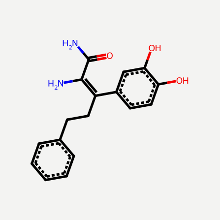 NC(=O)C(N)=C(CCc1ccccc1)c1ccc(O)c(O)c1